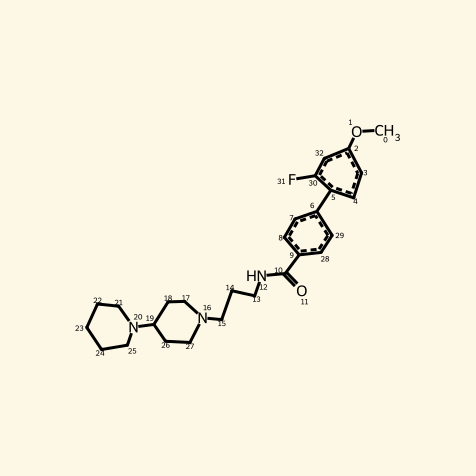 COc1ccc(-c2ccc(C(=O)NCCCN3CCC(N4CCCCC4)CC3)cc2)c(F)c1